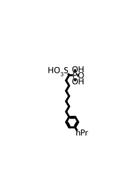 CCCc1ccc(CCCCCCCC(P(=O)(O)O)S(=O)(=O)O)cc1